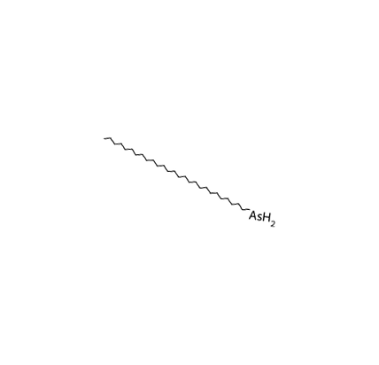 CCCCCCCCCCCCCCCCCCCCCCCCCCCC[AsH2]